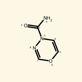 NC(=O)N1C=COC=N1